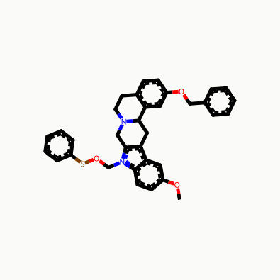 COc1ccc2c(c1)c1c(n2COSc2ccccc2)CN2CCc3ccc(OCc4ccccc4)cc3C2C1